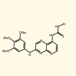 CCNC(=S)Nc1ccnc2nc(Nc3cc(OC)c(OC)c(OC)c3)cnc12